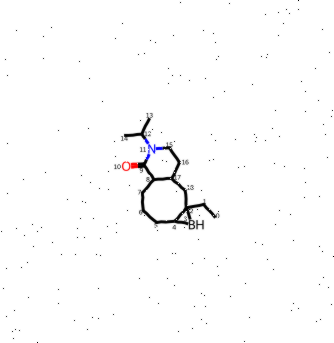 CCC12BC1CCCC1C(=O)N(C(C)C)CCC1C2